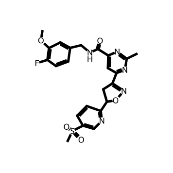 COc1cc(CNC(=O)c2cc(C3=NOC(c4ccc(S(C)(=O)=O)cn4)C3)nc(C)n2)ccc1F